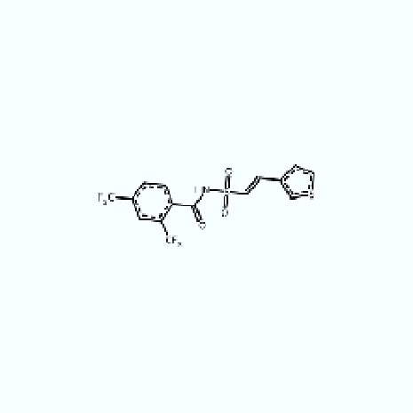 O=C(NS(=O)(=O)/C=C/c1ccsc1)c1ccc(C(F)(F)F)cc1C(F)(F)F